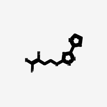 FC(F)=C(F)CCSc1nnc(-c2nccs2)s1